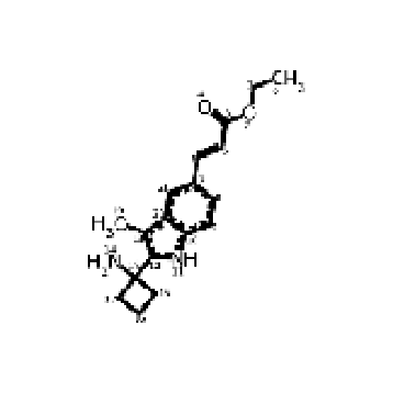 CCOC(=O)C=Cc1ccc2[nH]c(C3(N)CCC3)c(C)c2c1